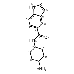 NC1CCC(NC(=O)c2ccc3[nH]ccc3c2)CC1